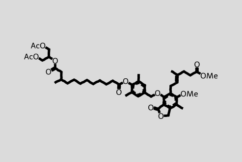 COC(=O)CC/C(C)=C/Cc1c(OC)c(C)c2c(c1OCc1cc(C)c(OC(=O)CCCCCCCCC(C)CC(=O)OC(COC(C)=O)COC(C)=O)c(C)c1)C(=O)OC2